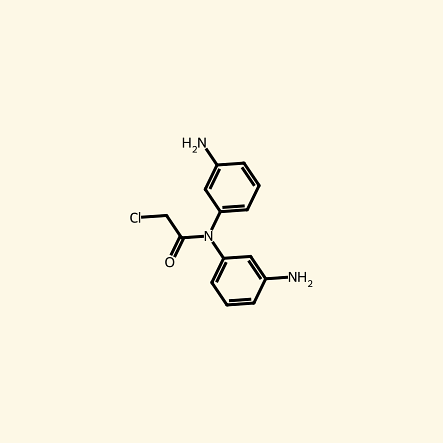 Nc1cccc(N(C(=O)CCl)c2cccc(N)c2)c1